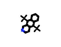 C[Si](C)(C)c1c2ccccc2c([Si](C)(C)C)c2cnccc12